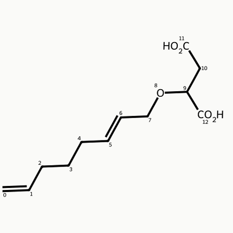 C=CCCCC=CCOC(CC(=O)O)C(=O)O